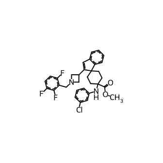 COC(=O)C1(Nc2cccc(Cl)c2)CCC2(CC1)C(C1CN(Cc3c(F)ccc(F)c3F)C1)=Cc1ccccc12